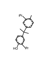 Cc1ccc(C(C)(C)c2ccc(O)c(C(C)C)c2)cc1C(C)C